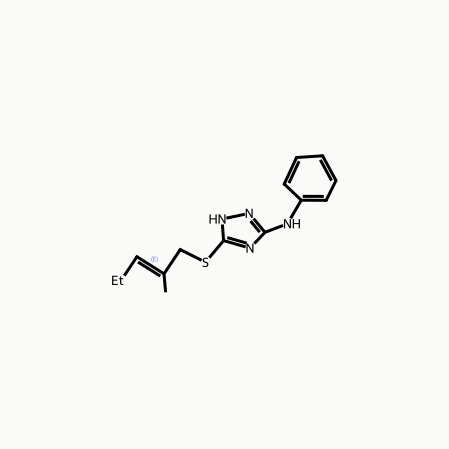 CC/C=C(\C)CSc1nc(Nc2ccccc2)n[nH]1